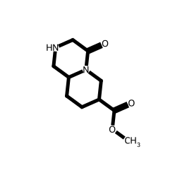 COC(=O)C1CCC2CNCC(=O)N2C1